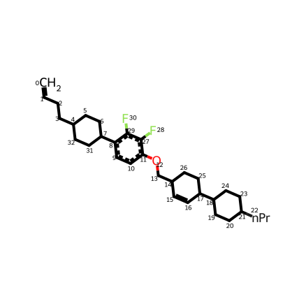 C=CCCC1CCC(c2ccc(OCC3C=CC(C4CCC(CCC)CC4)CC3)c(F)c2F)CC1